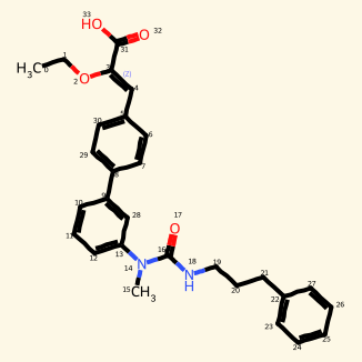 CCO/C(=C\c1ccc(-c2cccc(N(C)C(=O)NCCCc3ccccc3)c2)cc1)C(=O)O